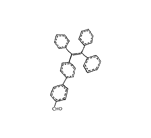 O=Cc1ccc(-c2ccc(C(=C(c3ccccc3)c3ccccc3)c3ccccc3)cc2)cc1